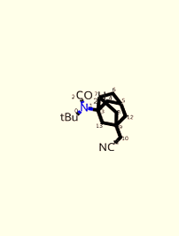 CC(C)(C)N(C(=O)O)C12CC3CC1CC(CC#N)(C3)C2